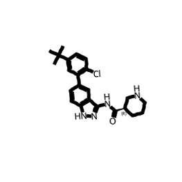 CC(C)(C)c1ccc(Cl)c(-c2ccc3[nH]nc(NC(=O)[C@@H]4CCCNC4)c3c2)c1